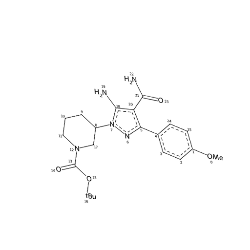 COc1ccc(-c2nn(C3CCCN(C(=O)OC(C)(C)C)C3)c(N)c2C(N)=O)cc1